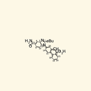 CCCCc1nc2cc(C(N)=O)ccc2n1-c1ccc(-c2ccccc2C(=O)O)c(C)c1